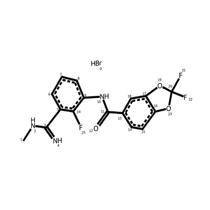 Br.CNC(=N)c1cccc(NC(=O)c2ccc3c(c2)OC(F)(F)O3)c1F